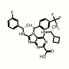 C[C@H](Nc1nc2nc(C(=O)O)nc(N[C@H](C)C3CCC3)c2n1Cc1ccc(C(F)(F)F)cc1)c1cccc(F)c1